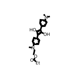 CCC(=O)OCCN(C)c1ccc(C2=C(O)C(c3ccc(N(C)C)cc3)=C2O)cc1